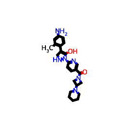 Cc1cc(N)ccc1C1=C(O)N(c2ccc(C(=O)N3CC(N4CCCCC4)C3)cn2)NC1